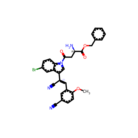 COc1ccc(C#N)cc1/C=C(\C#N)c1cn(C(=O)C[C@@H](N)C(=O)OCc2ccccc2)c2ccc(Br)cc12